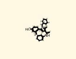 C=C(NC1CCCCC1)c1cc(-c2ccc(O)cc2C)n(CC2CCCCC2)c1C